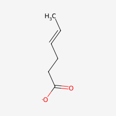 C/C=C/CCC([O])=O